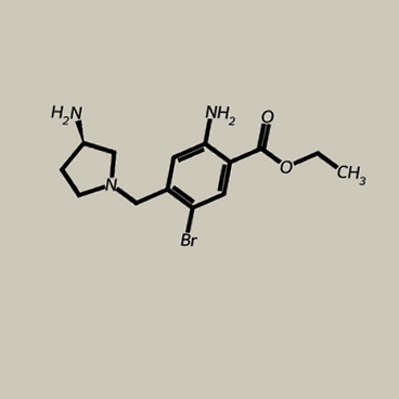 CCOC(=O)c1cc(Br)c(CN2CC[C@@H](N)C2)cc1N